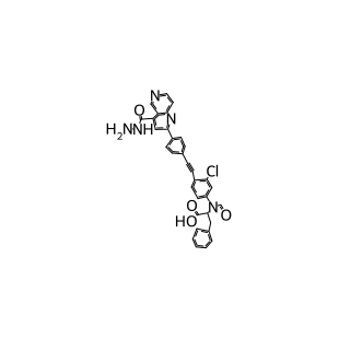 NNC(=O)c1cc(-c2ccc(C#Cc3ccc(N(C=O)C(Cc4ccccc4)C(=O)O)cc3Cl)cc2)nc2ccncc12